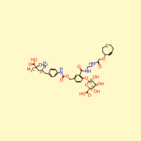 CC(C)(C[C@@H](N)Cc1ccc(NC(=O)OCc2ccc(O[C@@H]3O[C@H](C(=O)O)[C@@H](O)[C@H](O)[C@H]3O)c(C(=O)NCCNC(=O)COC3C#CCCCCC3)c2)cc1)C(=O)O